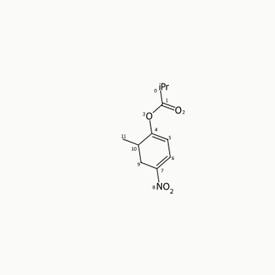 CC(C)C(=O)OC1=CC=C([N+](=O)[O-])CC1C